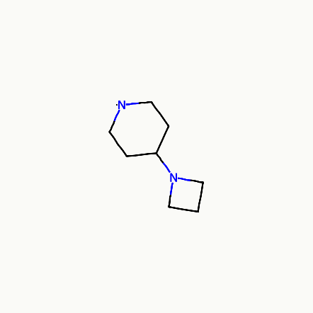 C1CN(C2CC[N]CC2)C1